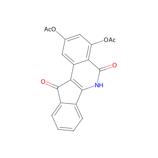 CC(=O)Oc1cc(OC(C)=O)c2c(=O)[nH]c3c(c2c1)C(=O)c1ccccc1-3